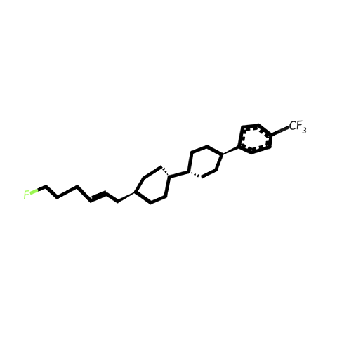 FCCCC=CC[C@H]1CC[C@H]([C@H]2CC[C@H](c3ccc(C(F)(F)F)cc3)CC2)CC1